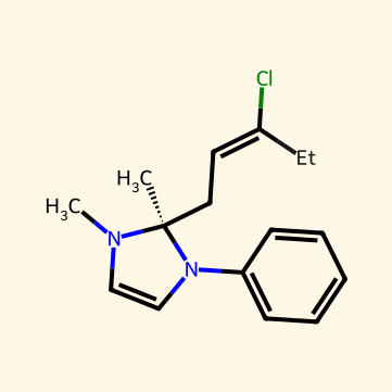 CC/C(Cl)=C\C[C@]1(C)N(C)C=CN1c1ccccc1